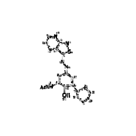 CC(=O)Nc1cc(/N=N/c2snc3ncccc23)cc(-c2ccccc2)c1O